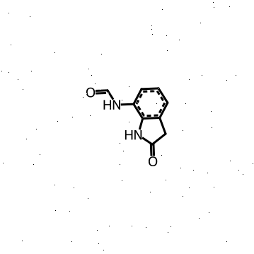 O=CNc1cccc2c1NC(=O)C2